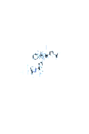 CC(C)(N)/C=C(\C#N)C(=O)N1CC(Cn2c(NC(=O)c3ccc(C(F)F)s3)nc3ccccc32)C1